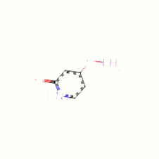 O=c1cc(OP)cc[nH]1